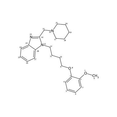 COc1ccccc1OCCCCn1c(CN2CCCCC2)nc2ccccc21